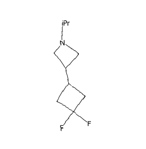 CC(C)N1CC(C2CC(F)(F)C2)C1